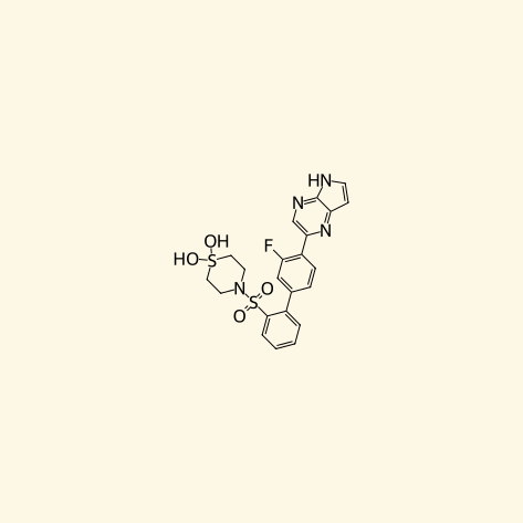 O=S(=O)(c1ccccc1-c1ccc(-c2cnc3[nH]ccc3n2)c(F)c1)N1CCS(O)(O)CC1